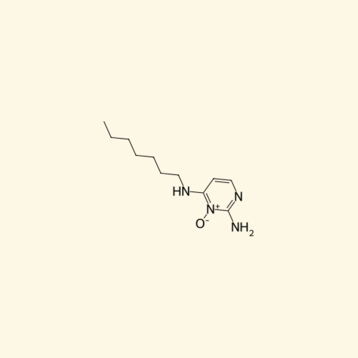 CCCCCCCNc1ccnc(N)[n+]1[O-]